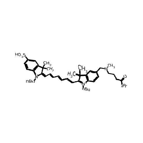 CCCCN1/C(=C/C=C/C=C/C=C/C2=[N+](CCCC)c3ccc(CN(C)CCCC(=O)C(C)C)cc3C2(C)C)C(C)(C)c2cc(S(=O)(=O)O)ccc21